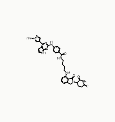 CCCn1cc(-c2nc(Nc3ccc(C(=O)NCCCCNc4cccc5c4C(=O)N(C4CCC(=O)NC4=O)C5)cc3)nc3[nH]ccc23)cn1